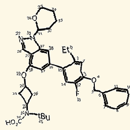 CCc1cc(OCc2ccccc2)c(F)cc1-c1cc(OC2CC(N(C(=O)O)C(C)(C)C)C2)c2cnn(C3CCCCO3)c2c1